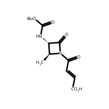 CC(C)COC(=O)N[C@@H]1C(=O)N(C(=O)C=CC(=O)O)[C@H]1C